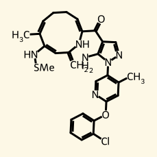 C=C1/C=C(NSC)\C(C)=C/CC/C=C(/C(=O)c2cnn(-c3cnc(Oc4ccccc4Cl)cc3C)c2N)N1